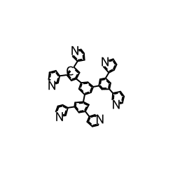 c1cncc(-c2cc(-c3cccnc3)cc(-c3cc(-c4cc(-c5cccnc5)cc(-c5cccnc5)c4)cc(-c4cc(-c5cccnc5)cc(-c5cccnc5)c4)c3)c2)c1